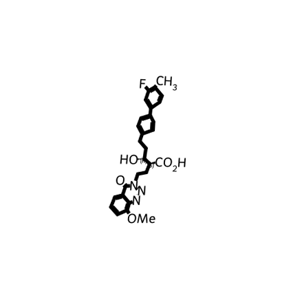 COc1cccc2c(=O)n(CC[C@H](C(=O)O)[C@H](O)CCc3ccc(-c4ccc(C)c(F)c4)cc3)nnc12